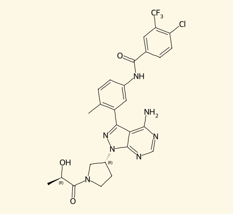 Cc1ccc(NC(=O)c2ccc(Cl)c(C(F)(F)F)c2)cc1-c1nn([C@@H]2CCN(C(=O)[C@@H](C)O)C2)c2ncnc(N)c12